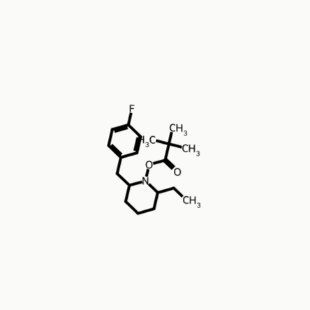 CCC1CCCC(Cc2ccc(F)cc2)N1OC(=O)C(C)(C)C